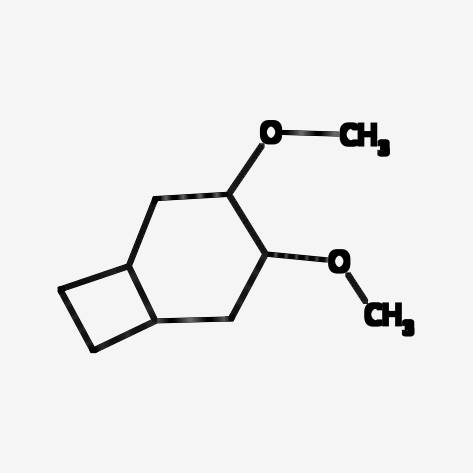 COC1CC2CCC2CC1OC